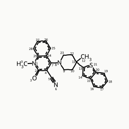 Cn1c(=O)c(C#N)c(N2CCC(C)(c3cc4ccccc4s3)CC2)c2ccccc21